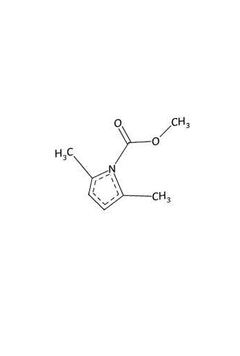 COC(=O)n1c(C)ccc1C